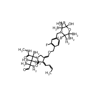 BC(B)(C=O)C(B)(B)C(B)(C(=O)NC)N1CC(=C\OCc2ccc(CN3C(B)(B)C(B)(B)OC(B)(O)C3(B)B)cc2F)/C(=C\C=C/C)C1=O